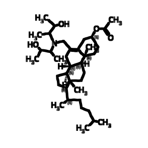 CC(=O)O[C@H]1CC[C@@]2(C)C(=C(CN(C(C)C(C)O)C(C)C(C)O)C[C@H]3[C@@H]4CC[C@H]([C@H](C)CCCC(C)C)[C@@]4(C)CC[C@@H]32)C1